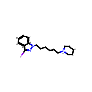 Ic1nn(CCCCCCN2CCCCC2)c2ccccc12